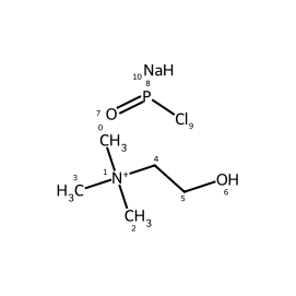 C[N+](C)(C)CCO.O=PCl.[NaH]